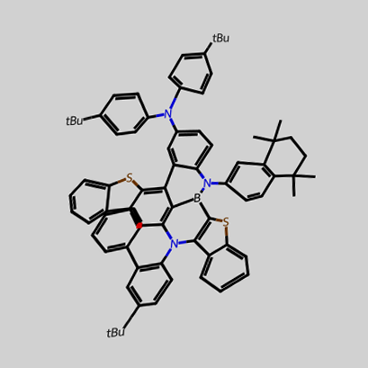 CC(C)(C)c1ccc(N(c2ccc(C(C)(C)C)cc2)c2ccc3c(c2)-c2c4c(cc5c2sc2ccccc25)N(c2ccc(C(C)(C)C)cc2-c2ccccc2)c2c(sc5ccccc25)B4N3c2ccc3c(c2)C(C)(C)CCC3(C)C)cc1